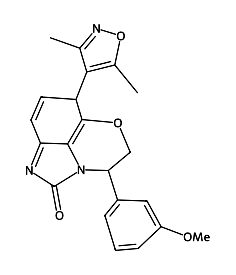 COc1cccc(C2COC3=C4C(=NC(=O)N42)C=CC3c2c(C)noc2C)c1